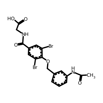 CC(=O)Nc1cccc(COc2c(Br)cc(C(=O)NCC(=O)O)cc2Br)c1